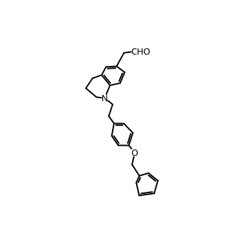 O=CCc1ccc2c(c1)CCCN2CCc1ccc(OCc2ccccc2)cc1